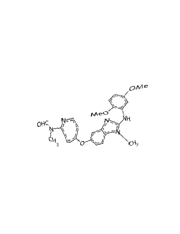 COc1ccc(OC)c(Nc2nc3cc(Oc4ccnc(N(C)C=O)c4)ccc3n2C)c1